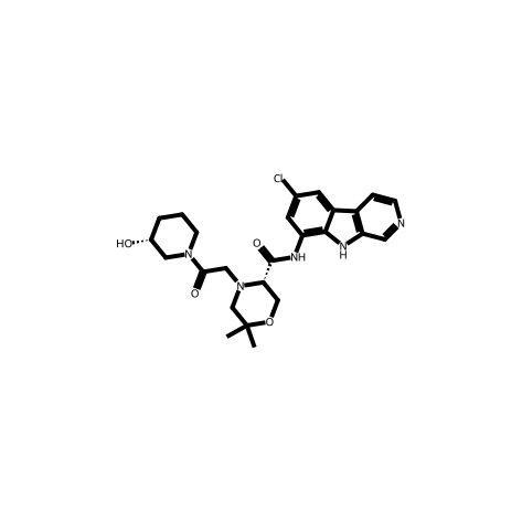 CC1(C)CN(CC(=O)N2CCC[C@@H](O)C2)[C@H](C(=O)Nc2cc(Cl)cc3c2[nH]c2cnccc23)CO1